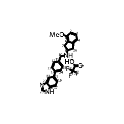 COc1cccc2c1CC(NCc1ccc(-c3ccc4[nH]cnc4c3)cc1)C2.O=C(O)C(F)(F)F